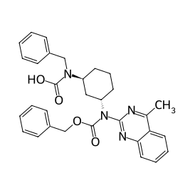 Cc1nc(N(C(=O)OCc2ccccc2)[C@H]2CCC[C@H](N(Cc3ccccc3)C(=O)O)C2)nc2ccccc12